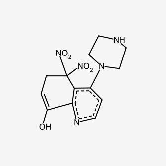 O=[N+]([O-])C1([N+](=O)[O-])CC=C(O)c2nccc(N3CCNCC3)c21